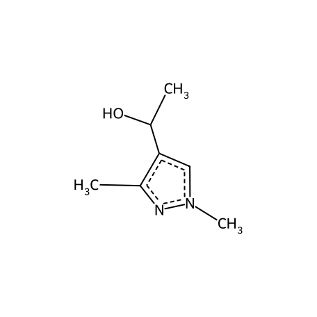 Cc1nn(C)cc1C(C)O